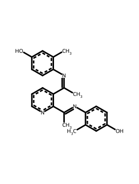 CC(=Nc1ccc(O)cc1C)c1cccnc1C(C)=Nc1ccc(O)cc1C